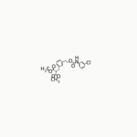 COC(=O)C(Cc1cccc(CCOC(=O)Nc2cccc(Cl)c2)c1)C(=O)OC